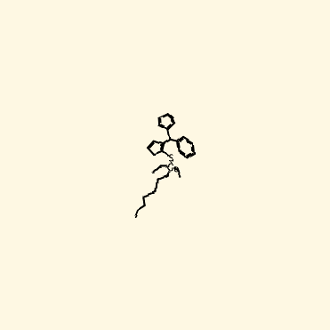 CCCCCC[CH2][Ge]([CH2]C)([CH2]C)[S]C1=C(C(c2ccccc2)c2ccccc2)C=CC1